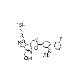 CCOc1cc(C(=O)N(C)Cc2cnc(CO)c3cnn(COCC[Si](C)(C)C)c23)ccc1-c1cccc(F)c1